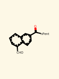 CCCCCC(=O)c1ccc2c(C=O)cccc2c1